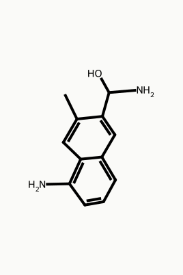 Cc1cc2c(N)cccc2cc1C(N)O